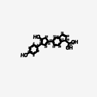 OC1=C(c2ccc(O)cc2)C=C(c2ccc3c(c2)C=CC3C(O)O)C1